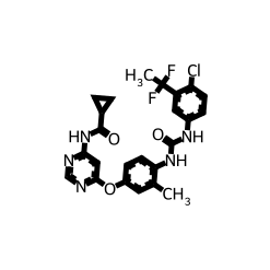 Cc1cc(Oc2cc(NC(=O)C3CC3)ncn2)ccc1NC(=O)Nc1ccc(Cl)c(C(C)(F)F)c1